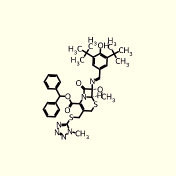 CO[C@@]1(/N=C/c2cc(C(C)(C)C)c(O)c(C(C)(C)C)c2)C(=O)N2C(C(=O)OC(c3ccccc3)c3ccccc3)=C(CSc3nnnn3C)CS[C@@H]21